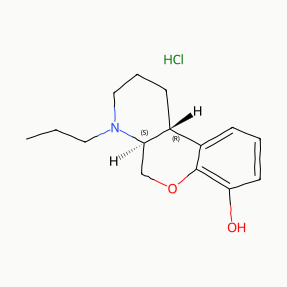 CCCN1CCC[C@@H]2c3cccc(O)c3OC[C@H]21.Cl